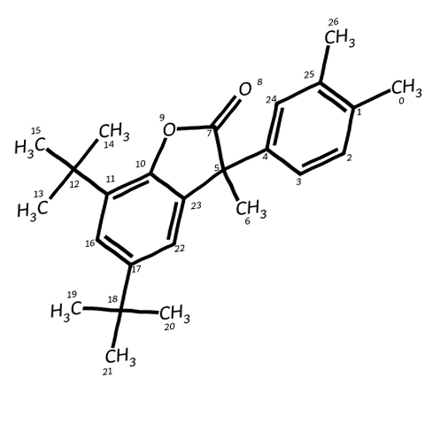 Cc1ccc(C2(C)C(=O)Oc3c(C(C)(C)C)cc(C(C)(C)C)cc32)cc1C